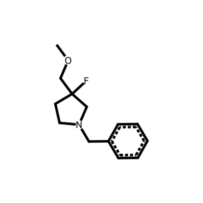 COCC1(F)CCN(Cc2ccccc2)C1